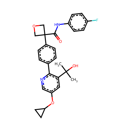 CC(C)(O)c1cc(OC2CC2)cnc1-c1ccc(C2(C(=O)Nc3ccc(F)cc3)COC2)cc1